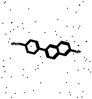 CCCCCC1CC=C(c2ccc3cc(CCC)ccc3c2)CC1